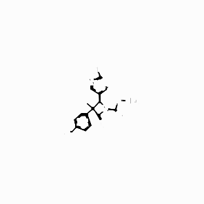 CC(C)(C)OC(=O)N1C(=O)C(C)(c2ccc(Cl)cc2)C1c1ccc(Cl)nc1